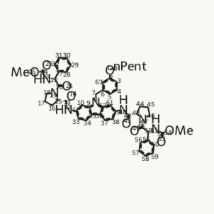 CCCCCOc1cccc(Cn2c3cc(NC(=O)[C@@H]4CCCN4C(=O)[C@H](NC(=O)OC)c4ccccc4)ccc3c3ccc(NC(=O)[C@@H]4CCCN4C(=O)[C@H](NC(=O)OC)c4ccccc4)cc32)c1